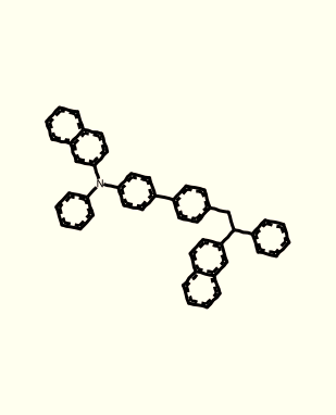 c1ccc(C(Cc2ccc(-c3ccc(N(c4ccccc4)c4ccc5ccccc5c4)cc3)cc2)c2ccc3ccccc3c2)cc1